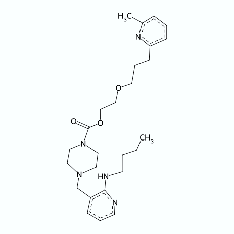 CCCCNc1ncccc1CN1CCN(C(=O)OCCOCCCc2cccc(C)n2)CC1